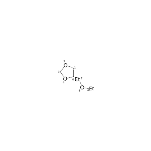 C1COCO1.CCOCC